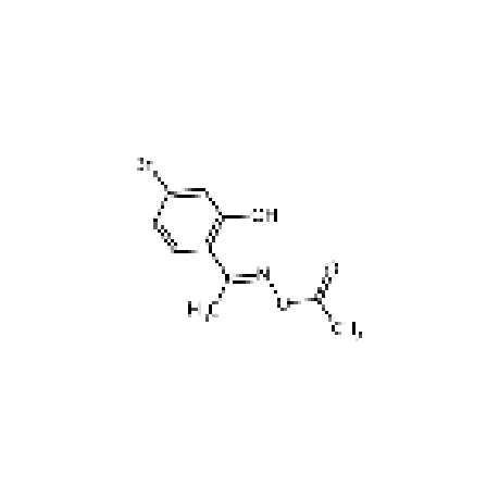 CC(=O)ON=C(C)c1ccc(Br)cc1O